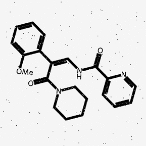 COc1ccccc1C(=CNC(=O)c1ccccn1)C(=O)N1CCCCC1